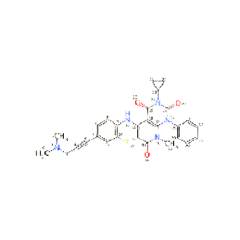 CN(C)CC#Cc1ccc(Nc2cc(=O)n(C)c3c2c(=O)n(C2CC2)c(=O)n3-c2ccccc2)c(F)c1